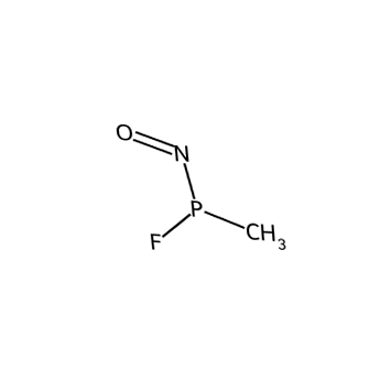 CP(F)N=O